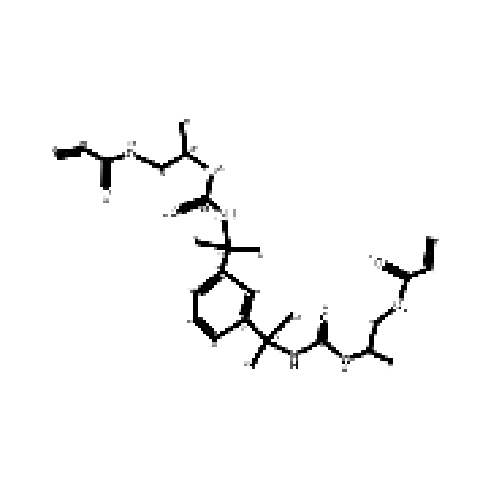 C=CC(=O)OCC(C)OC(=O)NC(C)(C)c1cccc(C(C)(C)NC(=O)OC(C)COC(=O)C=C)c1